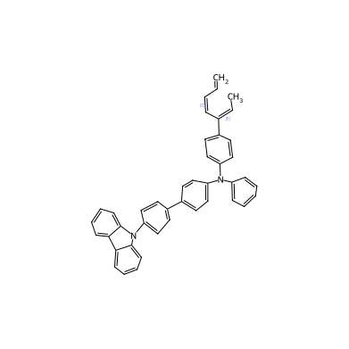 C=C/C=C\C(=C/C)c1ccc(N(c2ccccc2)c2ccc(-c3ccc(-n4c5ccccc5c5ccccc54)cc3)cc2)cc1